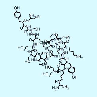 CC(C)CC(N)COC(Cc1ccc(O)cc1)C(=O)NC(=O)[C@H](CS)NN[C@@H](CC(=O)O)C(=O)N[C@@H](CC(=O)O)C(=O)N[C@@H](CO)C(=O)N[C@@H](CO)C(=O)C(=O)[C@H](CC(N)=O)NN[C@@H](CS)C(=O)C(=O)[C@H](CC(C)C)NC(=O)[C@H](CC(C)C)NC(=O)[C@H](CCCCN)NN[C@@H](CCCCN)C(=O)N[C@@H](Cc1ccc(O)cc1)C(=O)N[C@@H](CCCNC(N)N)C(=O)N[C@@H](CO)C(=O)O